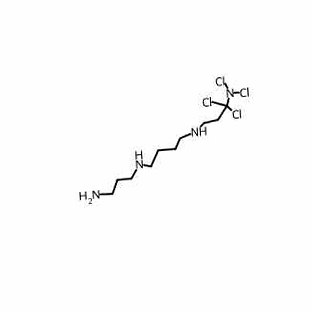 NCCCNCCCCNCCC(Cl)(Cl)N(Cl)Cl